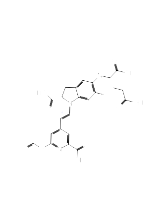 O=COc1cc(/C=C/N2c3cc(O)c(N[C@@H](CCC(=O)O)C(=O)O)cc3C[C@H]2C(=O)O)cc(C(=O)O)n1